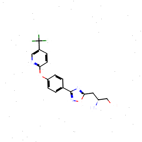 N[C@H](CO)Cc1nc(-c2ccc(Oc3ccc(C(F)(F)F)cn3)cc2)no1